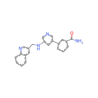 NC(=O)c1cccc(-c2cncc(NCc3cnc4ccccc4c3)c2)c1